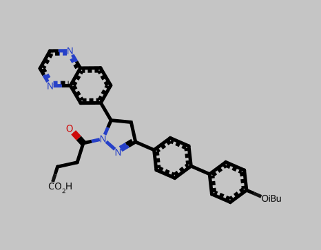 CC(C)COc1ccc(-c2ccc(C3=NN(C(=O)CCC(=O)O)C(c4ccc5nccnc5c4)C3)cc2)cc1